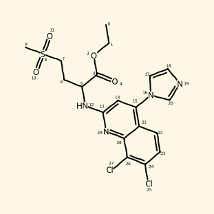 CCOC(=O)C(CCS(C)(=O)=O)Nc1cc(-n2ccnc2)c2ccc(Cl)c(Cl)c2n1